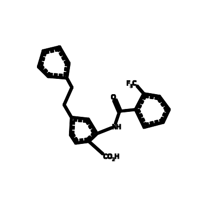 O=C(O)c1ccc(CCc2ccccc2)cc1NC(=O)c1ccccc1C(F)(F)F